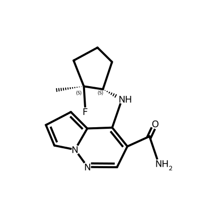 C[C@]1(F)CCC[C@@H]1Nc1c(C(N)=O)cnn2cccc12